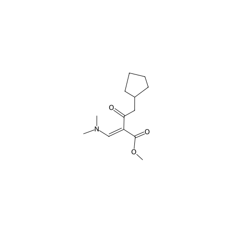 COC(=O)/C(=C/N(C)C)C(=O)CC1CCCC1